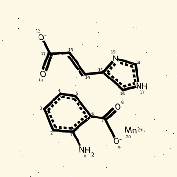 Nc1ccccc1C(=O)[O-].O=C([O-])C=Cc1c[nH]cn1.[Mn+2]